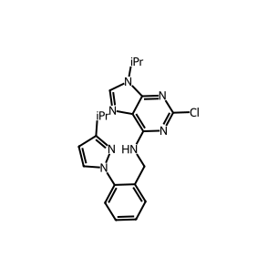 CC(C)c1ccn(-c2ccccc2CNc2nc(Cl)nc3c2ncn3C(C)C)n1